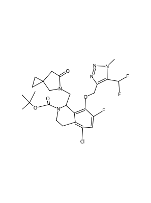 Cn1nnc(COc2c(F)cc(Cl)c3c2C(CN2CC4(CC4)CC2=O)N(C(=O)OC(C)(C)C)CC3)c1C(F)F